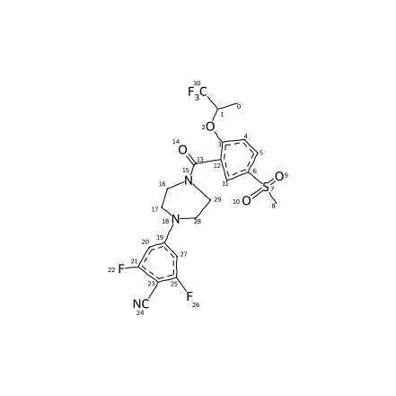 CC(Oc1ccc(S(C)(=O)=O)cc1C(=O)N1CCN(c2cc(F)c(C#N)c(F)c2)CC1)C(F)(F)F